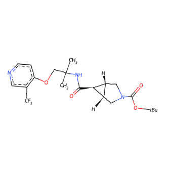 CC(C)(COc1ccncc1C(F)(F)F)NC(=O)[C@H]1[C@@H]2CN(C(=O)OC(C)(C)C)C[C@@H]21